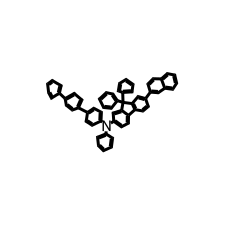 c1ccc(-c2ccc(-c3ccc(N(c4ccccc4)c4ccc5c(c4)C(c4ccccc4)(c4ccccc4)c4cc(-c6ccc7ccccc7c6)ccc4-5)cc3)cc2)cc1